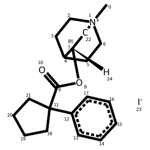 C[N+]12CCC(CC1)[C@@H](OC(=O)C1(c3ccccc3)CCCC1)C2.[I-]